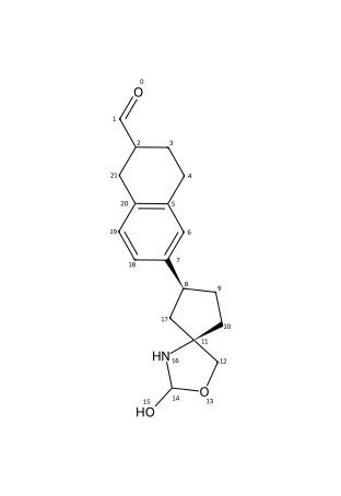 O=CC1CCc2cc([C@H]3CC[C@]4(COC(O)N4)C3)ccc2C1